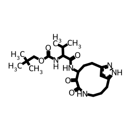 CC(C)C(NC(=O)OCC(C)(C)C)C(=O)NC1CCc2cc([nH]n2)CCCNC(=O)C1=O